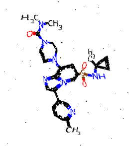 Cc1ccc(-c2cnc3c(N4CCN(C(=O)N(C)C)CC4)cc(S(=O)(=O)NC4(C)CC4)cn23)cn1